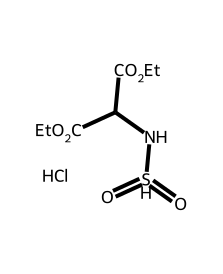 CCOC(=O)C(N[SH](=O)=O)C(=O)OCC.Cl